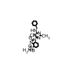 COc1nc2c(S(N)(=O)=O)cccc2n1-c1nc(C)nc(NCc2ccccc2)n1